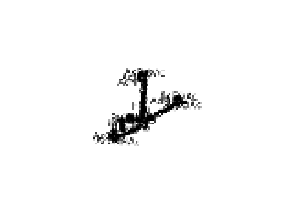 CCN(C(C)C)P(OCCC#N)O[C@H]1CC[C@@H](C(=O)NC(CCC(=O)NCCOCCOCCOC2OC(COC(C)=O)C(OC(C)=O)C(OC(C)=O)C2NC(C)=O)C(=O)N(CC(=O)NCCOCCOCCOC2OC(COC(C)=O)C(OC(C)=O)C(OC(C)=O)C2NC(C)=O)CC(=O)NCCOCCOCCOC2OC(COC(C)=O)C(OC(C)=O)C(OC(C)=O)C2NC(C)=O)CC1